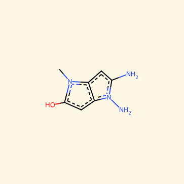 Cn1c(O)cc2c1cc(N)n2N